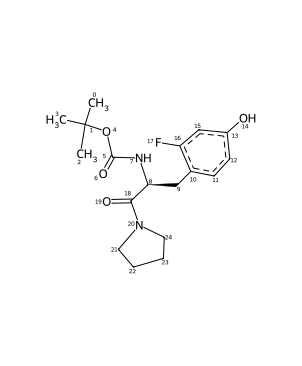 CC(C)(C)OC(=O)N[C@@H](Cc1ccc(O)cc1F)C(=O)N1CCCC1